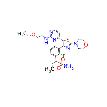 CCOCCNc1nccc(-c2sc(N3CCOCC3)nc2-c2cccc(C(CC)S(N)(=O)=O)c2F)n1